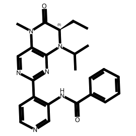 CC[C@@H]1C(=O)N(C)c2cnc(-c3ccncc3NC(=O)c3ccccc3)nc2N1C(C)C